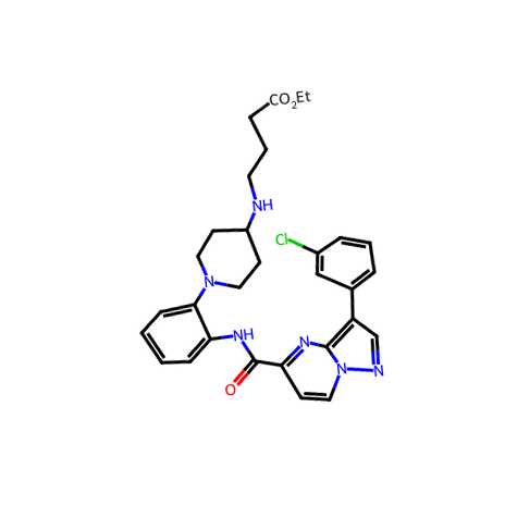 CCOC(=O)CCCNC1CCN(c2ccccc2NC(=O)c2ccn3ncc(-c4cccc(Cl)c4)c3n2)CC1